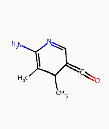 CC1=C(N)N=CC(=C=O)C1C